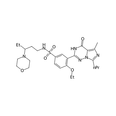 CCCc1nc(C)c2c(=O)[nH]c(-c3cc(S(=O)(=O)NCCC(CC)N4CCOCC4)ccc3OCC)nn12